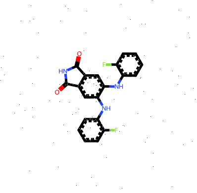 O=C1NC(=O)c2cc(Nc3ccccc3F)c(Nc3ccccc3F)cc21